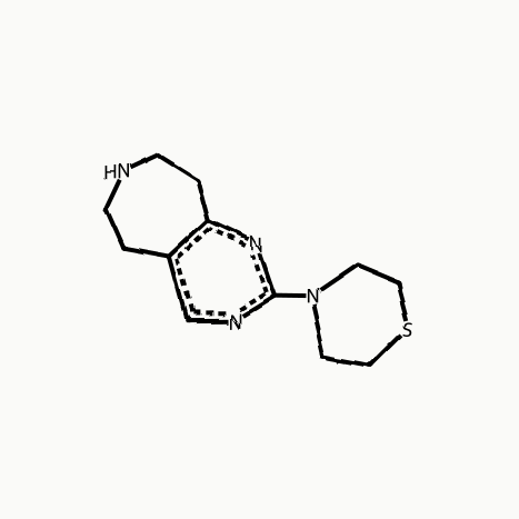 c1nc(N2CCSCC2)nc2c1CCNCC2